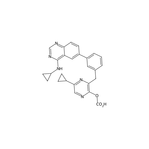 O=C(O)Oc1ncc(C2CC2)nc1Cc1cccc(-c2ccc3ncnc(NC4CC4)c3c2)c1